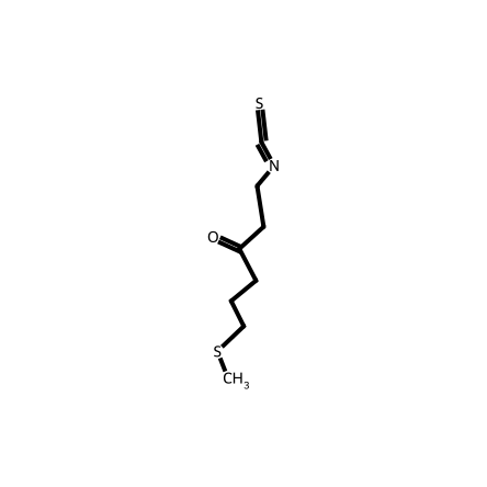 CSCCCC(=O)CCN=C=S